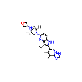 Cc1c(-c2[nH]c3ccc(N4C[C@@H]5C[C@H]4CN5C4COC4)nc3c2C(C)C)cn2ncnc2c1C